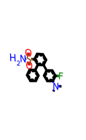 CN(C)c1ccc(-c2cccc(S(N)(=O)=O)c2-c2ccccc2)cc1F